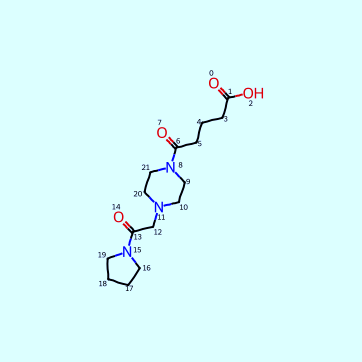 O=C(O)CCCC(=O)N1CCN(CC(=O)N2CCCC2)CC1